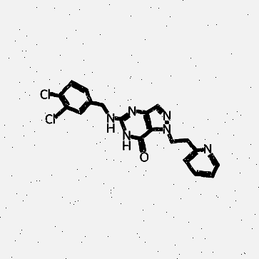 O=c1[nH]c(NCc2ccc(Cl)c(Cl)c2)nc2cnn(CCc3ccccn3)c12